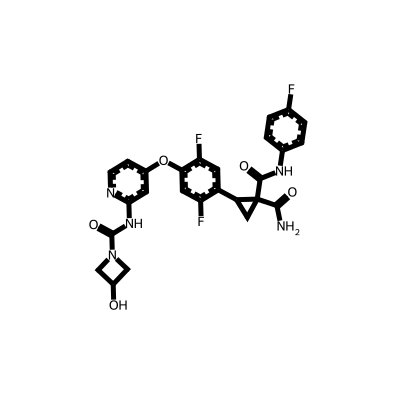 NC(=O)C1(C(=O)Nc2ccc(F)cc2)CC1c1cc(F)c(Oc2ccnc(NC(=O)N3CC(O)C3)c2)cc1F